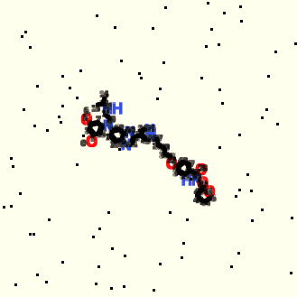 COc1cc(OC)cc(N(CCNC(C)C)c2ccc3ncc(-c4cnn(CCCCCOc5ccc(C(=O)NOC6CCCCO6)cc5)c4)nc3c2)c1